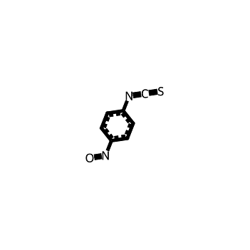 O=Nc1ccc(N=C=S)cc1